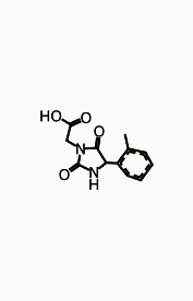 Cc1ccccc1C1NC(=O)N(CC(=O)O)C1=O